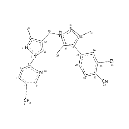 Cc1nn(-c2ccc(C(F)(F)F)cn2)cc1Cn1nc(C)c(-c2ccc(C#N)c(Cl)c2)c1C